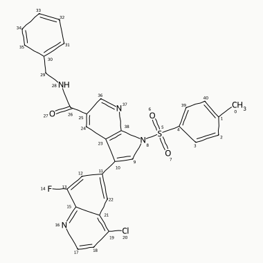 Cc1ccc(S(=O)(=O)n2cc(-c3cc(F)c4nccc(Cl)c4c3)c3cc(C(=O)NCc4ccccc4)cnc32)cc1